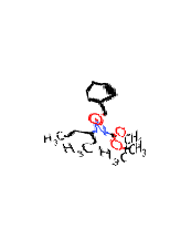 CCCC(CC)N(OCc1ccccc1)C(=O)OC(C)(C)C